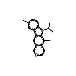 Cc1ccc2c(c1)c1cc3cnccc3c(C)c1n2C(C)C